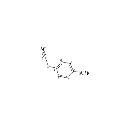 [CH]c1ccc([C]C#N)cc1